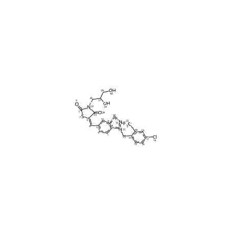 O=C1SC(=Cc2ccc3c(cnn3Cc3ccc(Cl)cc3C(F)(F)F)c2)C(=O)N1CC(O)CO